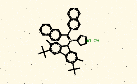 Cc1cc2c(cc1C(C)(C)C)-c1cc(C(C)(C)C)c(C)cc1[CH]2[Zr]([C]1=CC=CC1)=[C](c1ccc2ccccc2c1)c1ccc2ccccc2c1.Cl.Cl